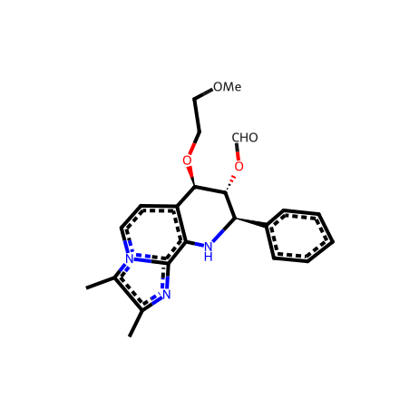 COCCO[C@@H]1c2ccn3c(C)c(C)nc3c2N[C@H](c2ccccc2)[C@H]1OC=O